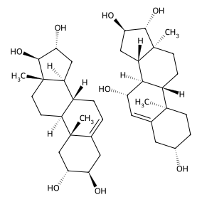 C[C@]12CC[C@H]3[C@@H](CC=C4C[C@@H](O)[C@H](O)C[C@@]43C)[C@@H]1C[C@@H](O)[C@@H]2O.C[C@]12CC[C@H]3[C@@H]([C@@H](O)C=C4C[C@@H](O)CC[C@@]43C)[C@@H]1C[C@@H](O)[C@@H]2O